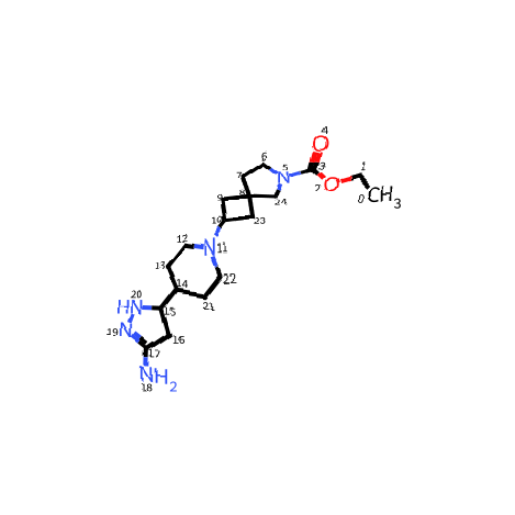 CCOC(=O)N1CCC2(CC(N3CCC(C4CC(N)=NN4)CC3)C2)C1